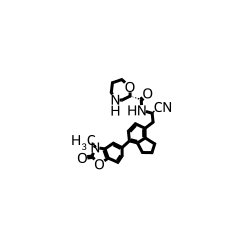 Cn1c(=O)oc2ccc(-c3ccc(C[C@@H](C#N)NC(=O)[C@@H]4CNCCCO4)c4c3CCC4)cc21